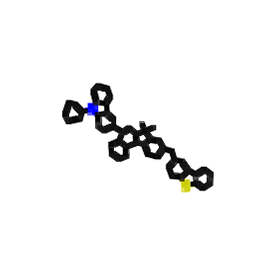 CC1(C)c2cc(Cc3ccc4sc5ccccc5c4c3)ccc2-c2c1cc(-c1ccc3c(c1)c1ccccc1n3-c1ccccc1)c1ccccc21